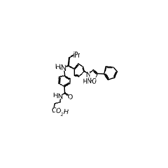 CC(C)CC(Nc1ccc(C(=O)NCCC(=O)O)cc1)c1ccc(N2C=C(c3ccccc3)ON2)cc1